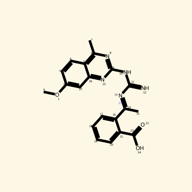 COc1ccc2c(C)nc(NC(=N)/N=C(\C)c3ccccc3C(=O)O)nc2c1